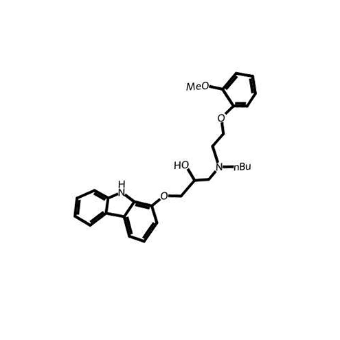 CCCCN(CCOc1ccccc1OC)CC(O)COc1cccc2c1[nH]c1ccccc12